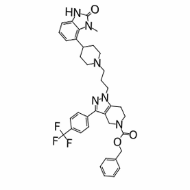 Cn1c(=O)[nH]c2cccc(C3CCN(CCCn4nc(-c5ccc(C(F)(F)F)cc5)c5c4CCN(C(=O)OCc4ccccc4)C5)CC3)c21